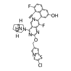 C#Cc1c(F)ccc2cc(O)cc(-c3ncc4c(N5C[C@H]6CC[C@@H](C5)N6)nc(OCc5cc6sc(Cl)cn6c5)nc4c3F)c12